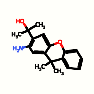 CC(C)(O)c1cc2c(cc1N)C(C)(C)c1ccccc1O2